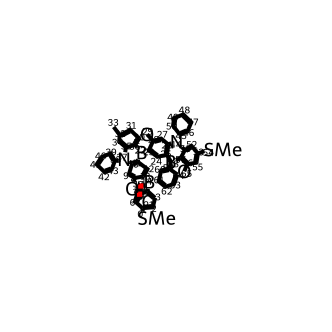 CSc1cc2c3c(c1)Oc1cc4c(cc1B3c1ccccc1O2)B1c2cc3c(cc2Oc2cc(C)cc(c21)N4c1ccccc1)N(c1ccccc1)c1cc(SC)cc2c1B3c1ccccc1O2